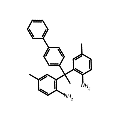 Cc1ccc(N)c(C(C)(c2ccc(-c3ccccc3)cc2)c2cc(C)ccc2N)c1